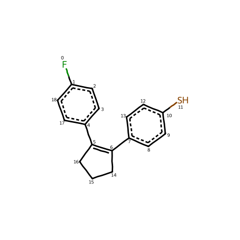 Fc1ccc(C2=C(c3ccc(S)cc3)CCC2)cc1